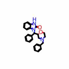 O=c1[nH]c2ccccc2n1C(c1ccccc1)C1CN(Cc2ccccc2)CCO1